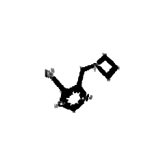 CCc1ocnc1CN1CCC1